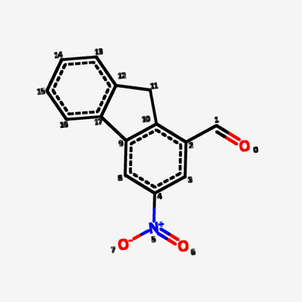 O=Cc1cc([N+](=O)[O-])cc2c1Cc1ccccc1-2